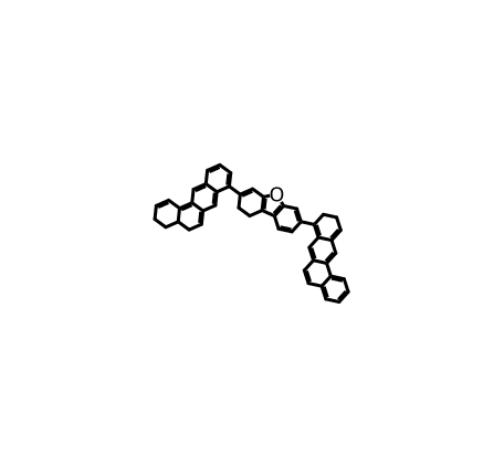 C1=CC2=c3cc4cccc(C5=Cc6oc7cc(C8=c9cc%10ccc%11ccccc%11c%10cc9=CCC8)ccc7c6CC5)c4cc3=CCC2CC1